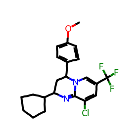 COc1ccc(C2CC(C3CCCCC3)N=C3C(Cl)=CC(C(F)(F)F)=CN32)cc1